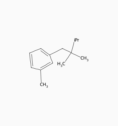 Cc1cccc(CC(C)(C)C(C)C)c1